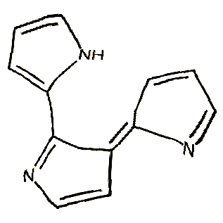 C1=C/C(=C2/C=CN=C2c2ccc[nH]2)N=C1